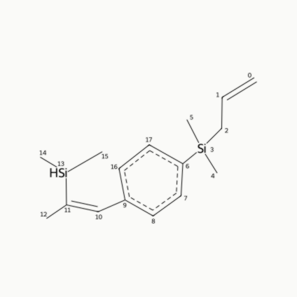 C=CC[Si](C)(C)c1ccc(C=C(C)[SiH](C)C)cc1